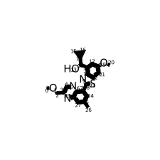 COCc1cnc2c(-c3nc4c(C(O)C5CC5)cc(OC)cc4s3)cc(C)cc2n1